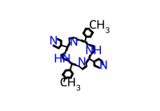 Cc1ccc(-c2c3nc(c(-c4ccncc4)c4ccc([nH]4)c(-c4ccc(C)cc4)c4nc(c(-c5ccncc5)c5ccc2[nH]5)C=C4)C=C3)cc1